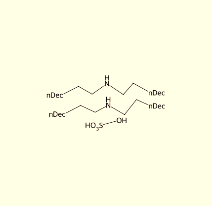 CCCCCCCCCCCCNCCCCCCCCCCCC.CCCCCCCCCCCCNCCCCCCCCCCCC.O=S(=O)(O)O